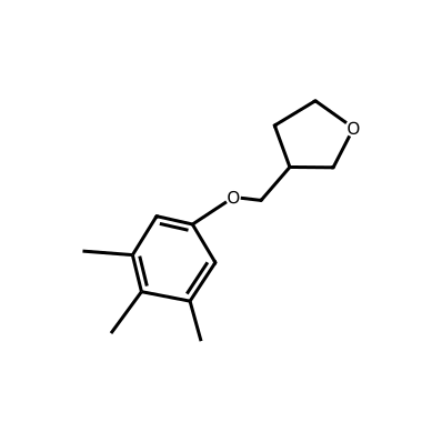 Cc1cc(OCC2CCOC2)cc(C)c1C